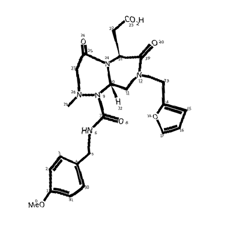 COc1ccc(CNC(=O)N2[C@H]3CN(Cc4ccco4)C(=O)[C@H](CC(=O)O)N3C(=O)CN2C)cc1